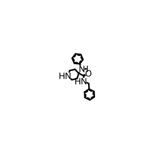 O=C(NCc1ccccc1)C1(N(I)c2ccccc2)CCNCC1